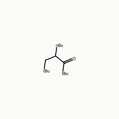 CCCCC(CC(C)(C)C)C(=O)C(C)(C)C